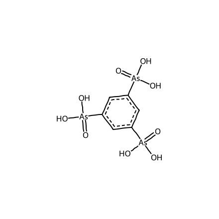 O=[As](O)(O)c1cc([As](=O)(O)O)cc([As](=O)(O)O)c1